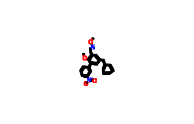 CON=Cc1cc(Cc2ccccc2)cc(-c2cccc([N+](=O)[O-])c2)c1OC